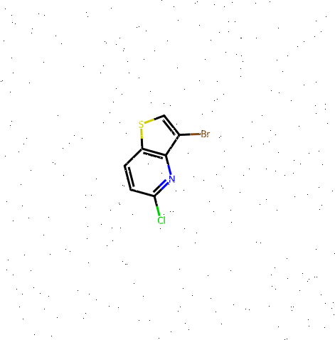 Clc1ccc2scc(Br)c2n1